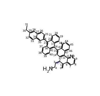 C=C(/C=C\CN)c1cccnc1-c1ccc(-c2c3ccccc3c(-c3ccc4cc(CC)ccc4c3)c3ccccc23)c2ccccc12